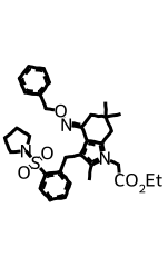 CCOC(=O)Cn1c(C)c(Cc2ccccc2S(=O)(=O)N2CCCC2)c2c1CC(C)(C)C/C2=N\OCc1ccccc1